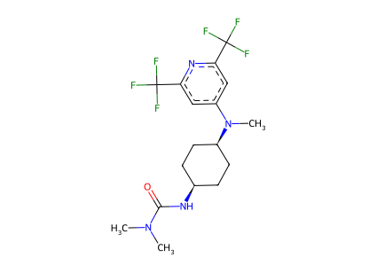 CN(C)C(=O)N[C@H]1CC[C@@H](N(C)c2cc(C(F)(F)F)nc(C(F)(F)F)c2)CC1